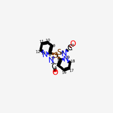 O=C=NSS(N=C=O)(c1ccccn1)c1ccccn1